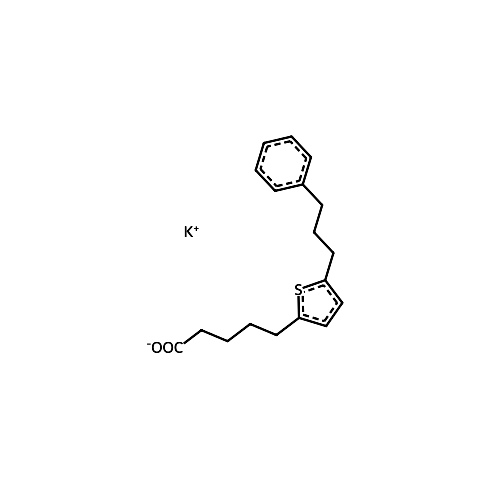 O=C([O-])CCCCc1ccc(CCCc2ccccc2)s1.[K+]